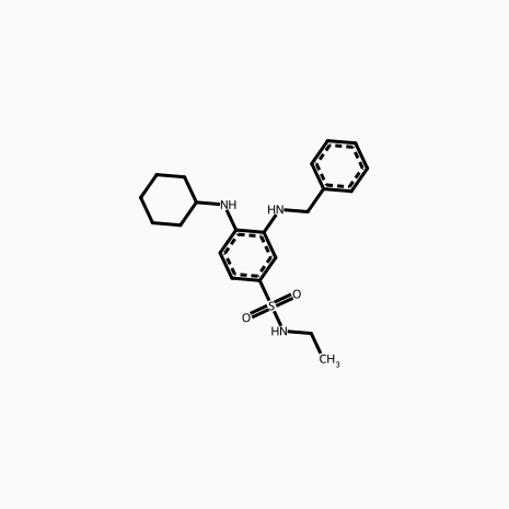 CCNS(=O)(=O)c1ccc(NC2CCCCC2)c(NCc2ccccc2)c1